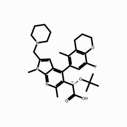 Cc1nc2c(cc(CN3CCCCC3)n2C)c(-c2cc(F)c3c(c2C)CCCO3)c1[C@H](OC(C)(C)C)C(=O)O